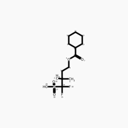 CC(C)(CCOC(=O)C1CCCCC1)C(F)(F)S(=O)(=O)O